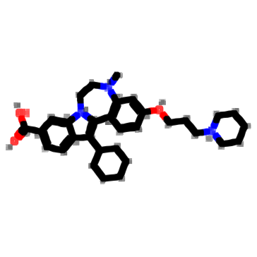 CN1CCn2c(c(C3CCCCC3)c3ccc(C(=O)O)cc32)-c2ccc(OCCCN3CCCCC3)cc21